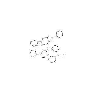 CC1(C)c2ccccc2-c2c(N(c3cccc(-c4ccccc4)c3)c3c4nc(-c5ccccc5)oc4cc4c3oc3ccccc34)cccc21